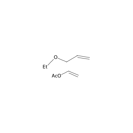 C=CCOCC.C=COC(C)=O